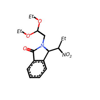 CCOC(CN1C(=O)c2ccccc2C1C(CC)[N+](=O)[O-])OCC